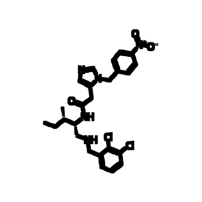 CC[C@H](C)[C@@H](CNCc1cccc(Cl)c1Cl)NC(=O)Cc1cncn1Cc1ccc([N+](=O)[O-])cc1